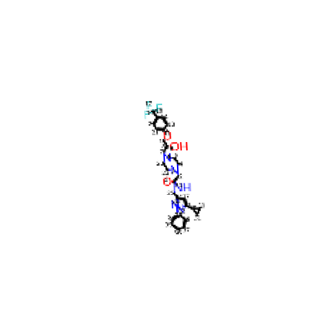 O=C(CN1CCN(C[C@@H](O)COc2ccc(C(F)(F)F)cc2)CC1)NCc1cc(C2CC2)n(-c2ccccc2)n1